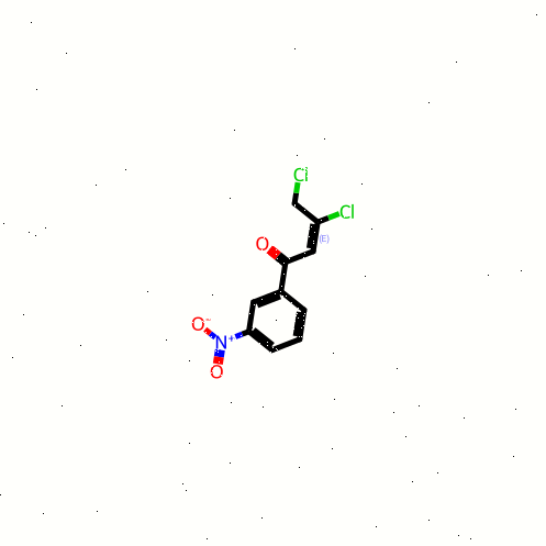 O=C(/C=C(/Cl)CCl)c1cccc([N+](=O)[O-])c1